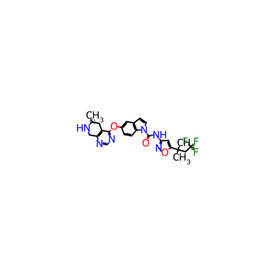 C[C@H]1Cc2c(ncnc2Oc2ccc3c(ccn3C(=O)Nc3cc(C(C)(C)CC(F)(F)F)on3)c2)CN1